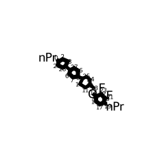 CCCc1ccc(-c2ccc(C3CCC(COc4ccc(CCC)c(F)c4F)CC3)cc2)cc1